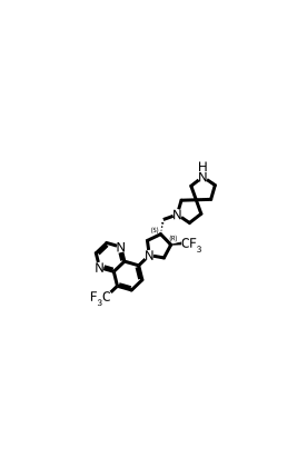 FC(F)(F)c1ccc(N2C[C@H](CN3CCC4(CCNC4)C3)[C@@H](C(F)(F)F)C2)c2nccnc12